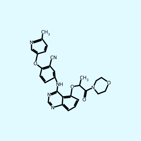 Cc1ccc(Oc2ccc(Nc3ncnc4cccc(OC(C)C(=O)N5CCOCC5)c34)cc2C#N)cn1